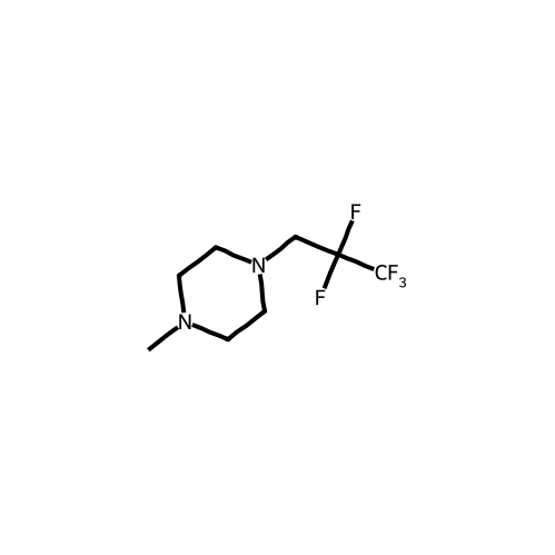 CN1CCN(CC(F)(F)C(F)(F)F)CC1